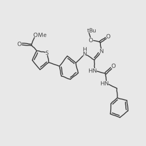 COC(=O)c1ccc(-c2cccc(NC(=NC(=O)OC(C)(C)C)NC(=O)NCc3ccccc3)c2)s1